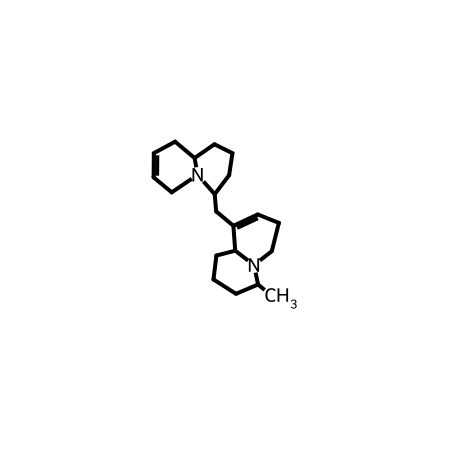 CC1CCCC2C(CC3CCCC4CC=CCN43)=CCCN12